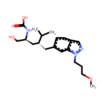 COCCCn1ncc2ccc(C[C@H](C[C@@H](CO)NC(=O)O)C(C)C)cc21